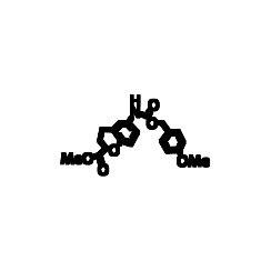 COC(=O)C1CCc2cc(NC(=O)OCc3ccc(OC)cc3)ccc2O1